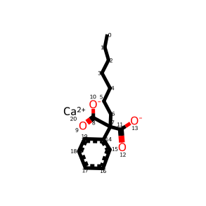 CCCCCCCC(C(=O)[O-])(C(=O)[O-])c1ccccc1.[Ca+2]